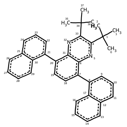 CC(C)(C)c1nc2c(-c3cccc4ccccc34)ccc(-c3cccc4ccccc34)c2nc1C(C)(C)C